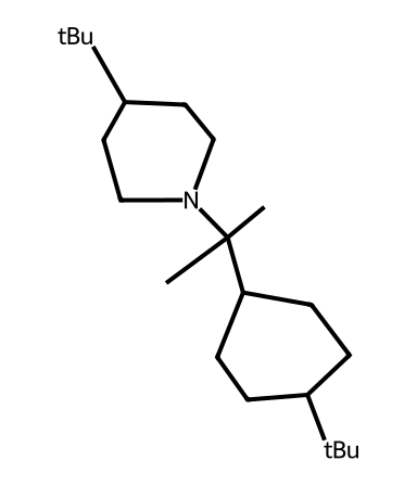 CC(C)(C)C1CCC(C(C)(C)N2CCC(C(C)(C)C)CC2)CC1